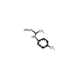 CCCCCC(C)Nc1ccc(C(F)(F)F)cc1